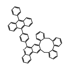 c1ccc(-c2c3ccccc3c(-c3ccc(-c4nc5ccccc5c5cc6c(cc45)-c4ccccc4Cc4ccccc4-c4ccccc4C6)cc3)c3ccccc23)cc1